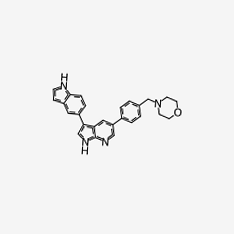 c1cc2cc(-c3c[nH]c4ncc(-c5ccc(CN6CCOCC6)cc5)cc34)ccc2[nH]1